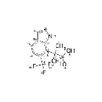 CC(C)(C(=O)O)n1c(C(F)(F)F)ccc2ccnc1-2